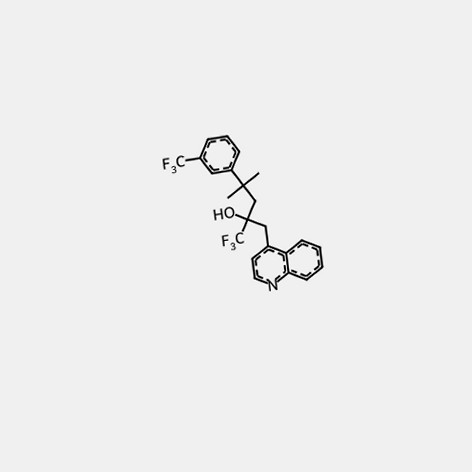 CC(C)(CC(O)(Cc1ccnc2ccccc12)C(F)(F)F)c1cccc(C(F)(F)F)c1